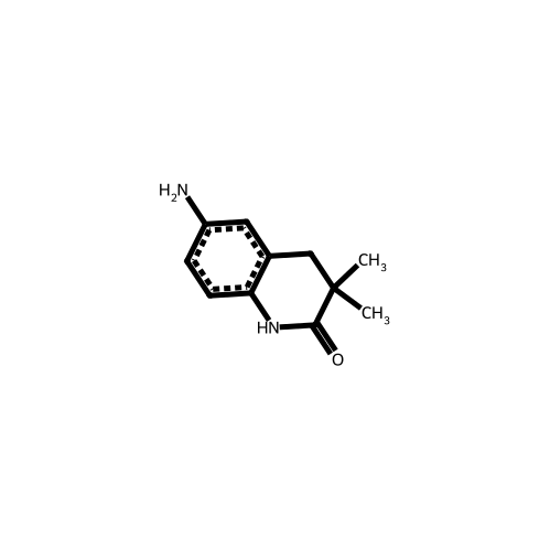 CC1(C)Cc2cc(N)ccc2NC1=O